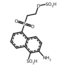 Nc1ccc2c(S(=O)(=O)CCOS(=O)(=O)O)cccc2c1S(=O)(=O)O